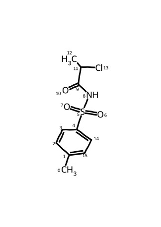 Cc1ccc(S(=O)(=O)NC(=O)C(C)Cl)cc1